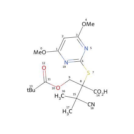 COc1cc(OC)nc(SC(COC(=O)C(C)(C)C)(C(=O)O)C(C)(C)C#N)n1